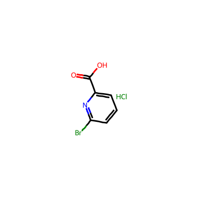 Cl.O=C(O)c1cccc(Br)n1